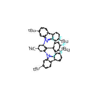 CC(C)(C)c1ccc2c3ccc(C(C)(C)C)cc3n(-c3cc(C#N)cc(-n4c5cc(C(C)(C)C)ccc5c5ccc(C(C)(C)C)cc54)c3-c3c(F)c(F)c(F)c(F)c3F)c2c1